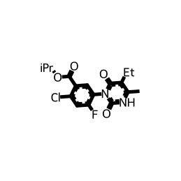 CCc1c(C)[nH]c(=O)n(-c2cc(C(=O)OC(C)C)c(Cl)cc2F)c1=O